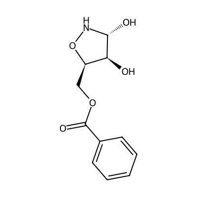 O=C(OC[C@H]1ON[C@H](O)[C@H]1O)c1ccccc1